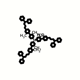 Cc1cc(C=CC=C(c2ccccc2)c2ccccc2)ccc1-c1ccc(N(c2ccc(-c3ccc(C=CC=C(c4ccccc4)c4ccccc4)cc3C)c(C)c2)c2ccc(-c3ccc(C=CC=C(c4ccccc4)c4ccccc4)cc3C)c(C)c2)cc1C